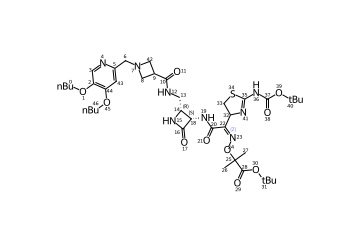 CCCCOc1cnc(CN2CC(C(=O)NC[C@H]3NC(=O)[C@H]3NC(=O)/C(=N\OC(C)(C)C(=O)OC(C)(C)C)C3CSC(NC(=O)OC(C)(C)C)=N3)C2)cc1OCCCC